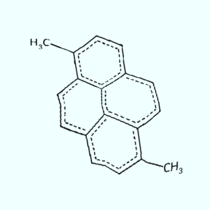 Cc1ccc2ccc3c(C)ccc4ccc1c2c43